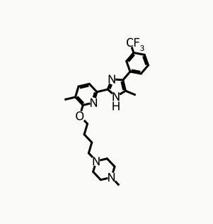 Cc1ccc(-c2nc(-c3cccc(C(F)(F)F)c3)c(C)[nH]2)nc1OCCCCN1CCN(C)CC1